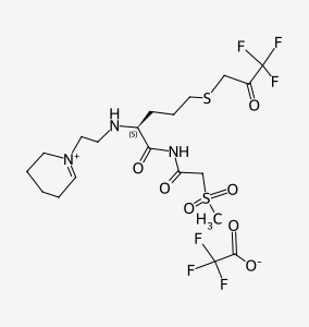 CS(=O)(=O)CC(=O)NC(=O)[C@H](CCCSCC(=O)C(F)(F)F)NCC[N+]1=CCCCC1.O=C([O-])C(F)(F)F